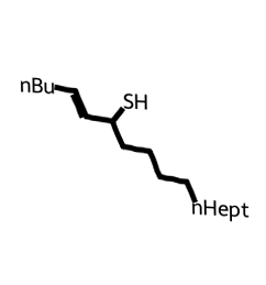 CCCCC=CC(S)CCCCCCCCCCC